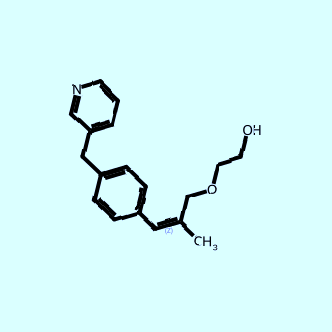 C/C(=C/c1ccc(Cc2cccnc2)cc1)COCCO